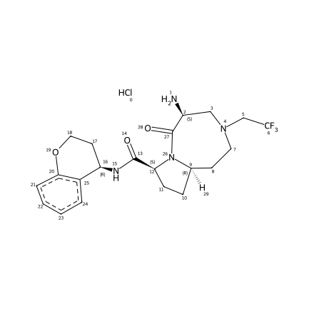 Cl.N[C@H]1CN(CC(F)(F)F)CC[C@H]2CC[C@@H](C(=O)N[C@@H]3CCOc4ccccc43)N2C1=O